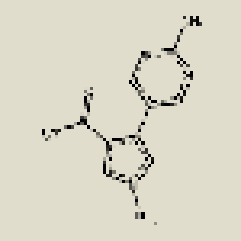 NC(=O)c1cn(N)cc1-c1ccc(N)cc1